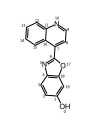 Oc1ccc2nc(-c3ccnc4ccccc34)oc2c1